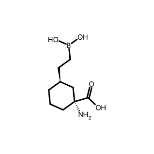 N[C@]1(C(=O)O)CCC[C@@H](CCB(O)O)C1